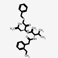 C=C(O)C[C@H](NC(=C)[C@@H](NC(=O)Cc1ccccc1CC)C(C)C)C(=O)CSCc1ccccc1